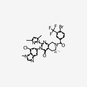 Cc1cc(C)n(-c2nc3c(c(=O)n2-c2cc(Cl)c4c(c2)ncn4C)C[C@@H](C)N(C(=O)c2ccc(Br)c(C(F)(F)F)c2)C3)n1